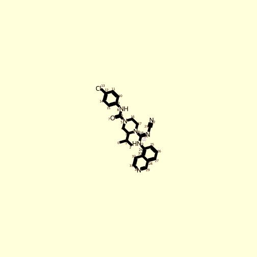 CC(C)C1CN(C(=O)Nc2ccc(Cl)cc2)CCN1/C(=N\C#N)Nc1cccc2cnccc12